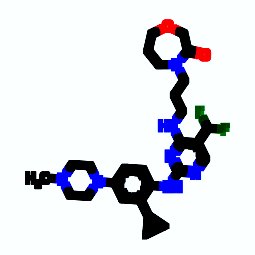 CN1CCN(c2ccc(Nc3ncc(C(F)F)c(NCCCN4CCCOCC4=O)n3)c(C3CC3)c2)CC1